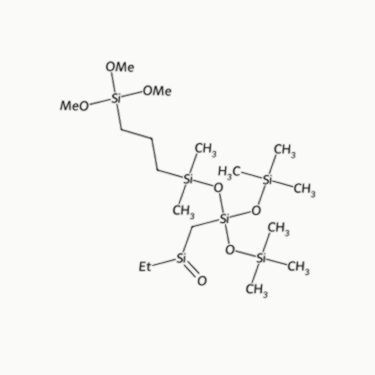 CC[Si](=O)C[Si](O[Si](C)(C)C)(O[Si](C)(C)C)O[Si](C)(C)CCC[Si](OC)(OC)OC